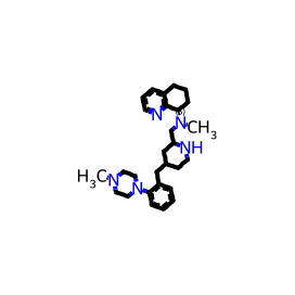 CN1CCN(c2ccccc2CC2CCNC(CN(C)[C@H]3CCCc4cccnc43)C2)CC1